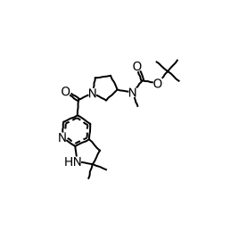 CN(C(=O)OC(C)(C)C)C1CCN(C(=O)c2cnc3c(c2)CC(C)(C)N3)C1